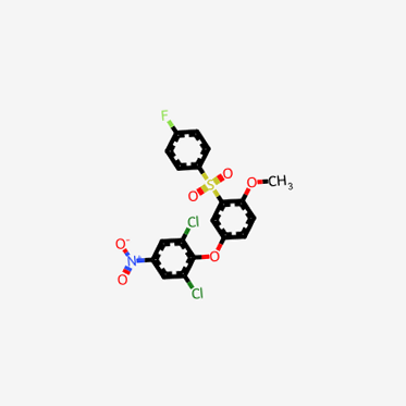 COc1ccc(Oc2c(Cl)cc([N+](=O)[O-])cc2Cl)cc1S(=O)(=O)c1ccc(F)cc1